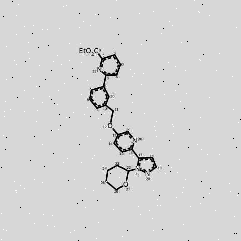 CCOC(=O)c1cccc(-c2cccc(COc3ccc(-c4ccnn4C4CCCCO4)nc3)c2)n1